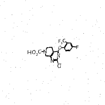 O=C(O)N1CCc2c(nc(Cl)nc2Oc2ccc(F)cc2C(F)(F)F)C1